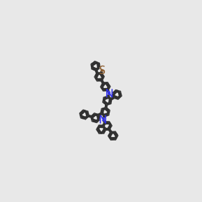 c1ccc(-c2ccc3c(c2)c2cc(-c4ccc5c(c4)c4ccccc4n5-c4ccc(-c5ccc6c(c5)sc5ccccc56)cc4)ccc2n3-c2ccc(-c3ccccc3)c3ccccc23)cc1